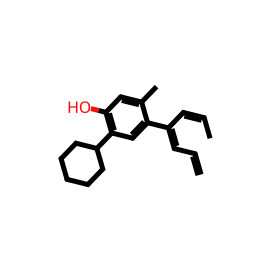 C=C/C=C(\C=C/C)c1cc(C2CCCCC2)c(O)cc1C